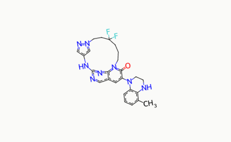 Cc1cccc2c1NCCN2c1cc2cnc3nc2n(c1=O)CCCC(F)(F)CCn1cc(cn1)N3